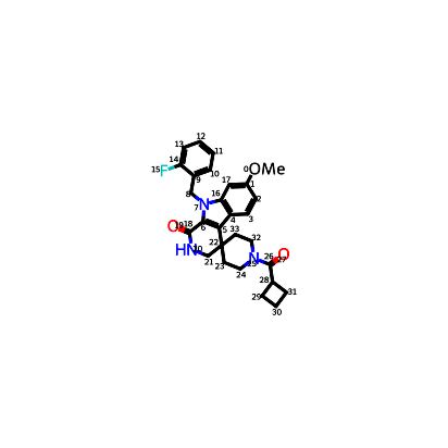 COc1ccc2c3c(n(Cc4ccccc4F)c2c1)C(=O)NCC31CCN(C(=O)C2CCC2)CC1